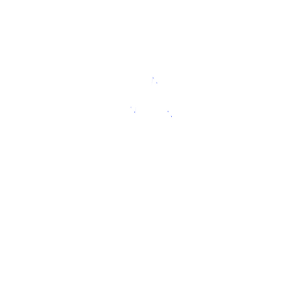 c1ccc(-c2cc(-c3ccccc3)cc(-c3ncncn3)c2)cc1